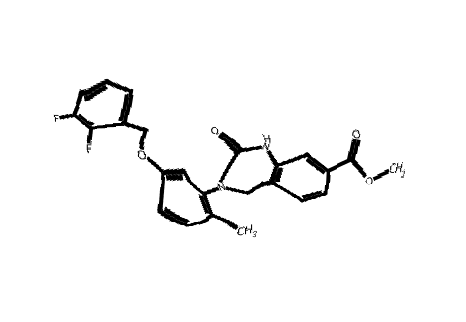 COC(=O)c1ccc2c(c1)NC(=O)N(c1cc(OCc3cccc(F)c3F)ccc1C)C2